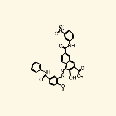 COC(=O)c1cc2cc(C(=O)Nc3cccc([N+](=O)[O-])c3)ccc2c(N=Nc2cc(C(=O)Nc3ccccc3)ccc2OC)c1O